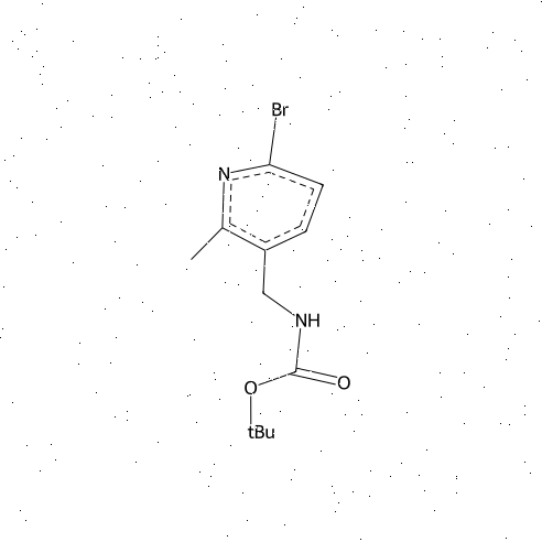 Cc1nc(Br)ccc1CNC(=O)OC(C)(C)C